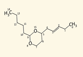 CCC=CCC1CCOC(CCCCC)O1